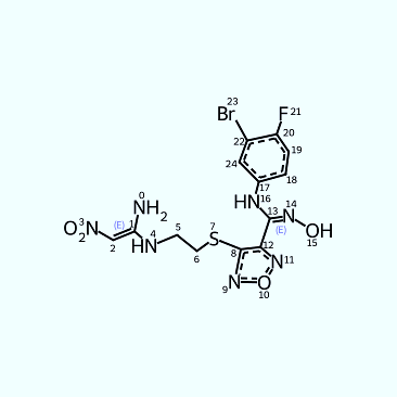 N/C(=C\[N+](=O)[O-])NCCSc1nonc1/C(=N\O)Nc1ccc(F)c(Br)c1